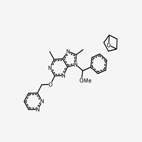 C1CC2CC1O2.COC(c1ccccc1)n1c(C)nc2c(C)nc(OCc3cccnn3)nc21